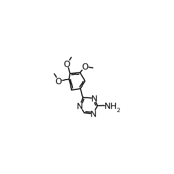 COc1cc(-c2ncnc(N)n2)cc(OC)c1OC